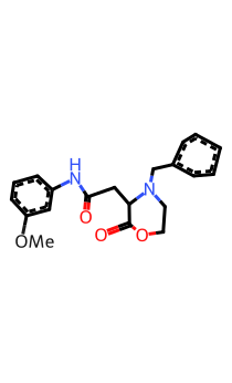 COc1cccc(NC(=O)CC2C(=O)OCCN2Cc2ccccc2)c1